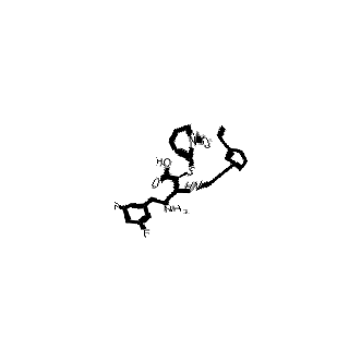 CCc1cccc(CNCC(C(N)Cc2cc(F)cc(F)c2)[C@H](Sc2cccc[n+]2[O-])C(=O)O)c1